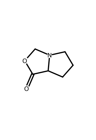 O=C1OCN2CCCC12